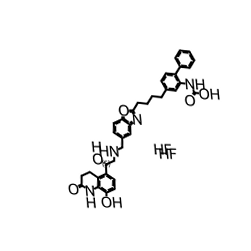 F.F.O=C(O)Nc1cc(CCCCc2nc3cc(CNC[C@@H](O)c4ccc(O)c5c4CCC(=O)N5)ccc3o2)ccc1-c1ccccc1